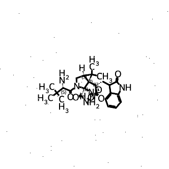 CC(C)(C)[C@H](N)C(=O)N1C[C@H]2C(C)(C)[C@@]2([C@H](CC2C(=O)Nc3ccccc32)C(N)=O)[C@@]1(C(N)=O)[N+](=O)[O-]